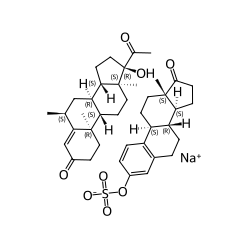 CC(=O)[C@@]1(O)CC[C@H]2[C@@H]3C[C@H](C)C4=CC(=O)CC[C@]4(C)[C@H]3CC[C@@]21C.C[C@]12CC[C@@H]3c4ccc(OS(=O)(=O)[O-])cc4CC[C@H]3[C@@H]1CCC2=O.[Na+]